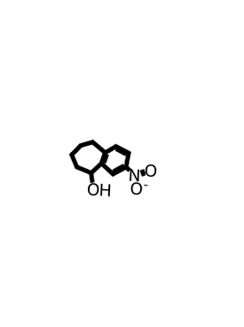 O=[N+]([O-])c1ccc2c(c1)C(O)CCCC2